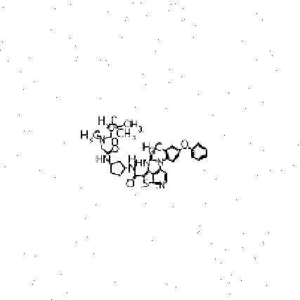 Cc1cc(Oc2ccccc2)ccc1N1C(=O)Nc2c(C(=O)N[C@@H]3CCC(NC(=O)CN(C)C(=O)OC(C)(C)C)C3)sc3nccc1c23